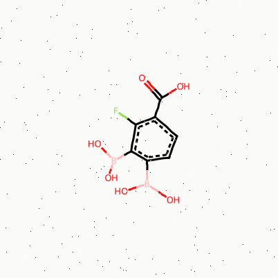 O=C(O)c1ccc(B(O)O)c(B(O)O)c1F